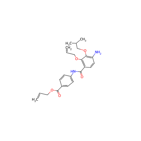 C=CCOC(=O)c1ccc(NC(=O)c2ccc(N)c(OCC(C)C)c2OCC=C)cc1